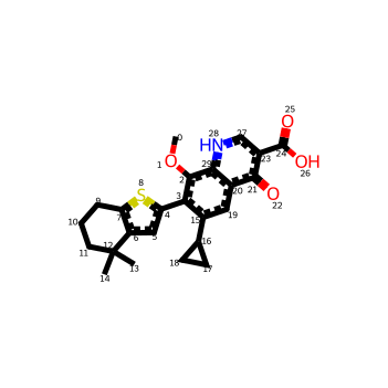 COc1c(-c2cc3c(s2)CCCC3(C)C)c(C2CC2)cc2c(=O)c(C(=O)O)c[nH]c12